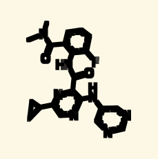 CN(C)C(=O)c1cccc(F)c1NC(=O)c1nc(C2CC2)cnc1Nc1cncnc1